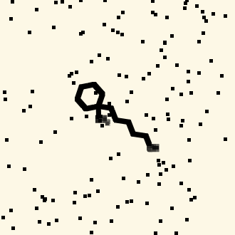 NC1(CCCCCO)CCCCC1